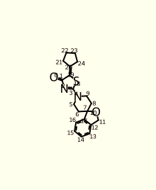 O=C1N=C(N2CCC3(CC2)OCc2ccccc23)SC1=C1CCCC1